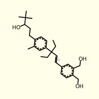 CCC(/C=C/c1ccc(CO)c(CO)c1)(CC)c1ccc(CCC(O)C(C)(C)C)c(C)c1